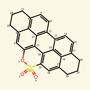 O=S1(=O)Oc2cc3c4c(ccc5c6ccc7c8c(cc1c(c2c45)c86)CCC7)CCC3